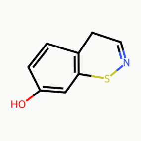 Oc1ccc2c(c1)SN=CC2